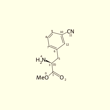 COC(=O)[C@@H](N)Cc1cccc(C#N)c1